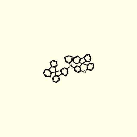 CC1(c2ccccc2-c2ccc(N(c3ccccc3)c3ccc4c(c3)C3(C5=C(C=CCC5)c5ccccc53)c3ccccc3O4)cc2)c2ccccc2-c2ccccc21